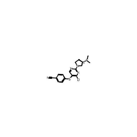 CN(C)[C@@H]1CCN(c2ncc(Sc3ccc(C#N)cc3)c(Cl)n2)C1